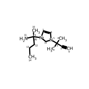 C#CC(C)(C)N1C=CN([C@@](C)(N)CCC)C1